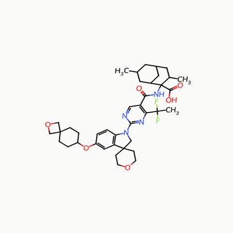 CC1CC2CC(C)C(NC(=O)c3cnc(N4CC5(CCOCC5)c5cc(OC6CCC7(CC6)COC7)ccc54)nc3C(C)(F)F)(C(=O)O)C(C1)C2